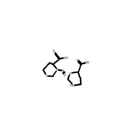 O=C(O)C1CCNCO1.O=NN1COCCC1C(=O)O